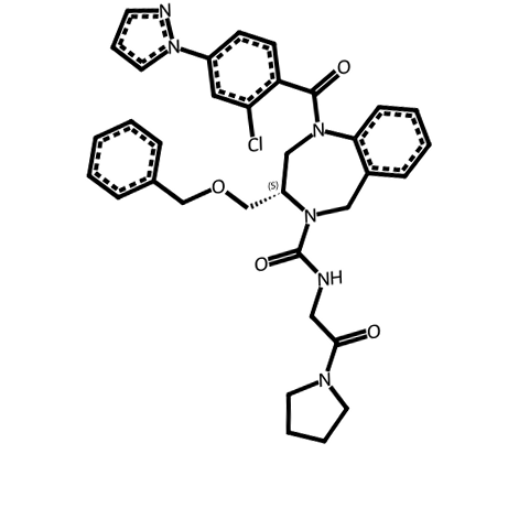 O=C(CNC(=O)N1Cc2ccccc2N(C(=O)c2ccc(-n3cccn3)cc2Cl)C[C@H]1COCc1ccccc1)N1CCCC1